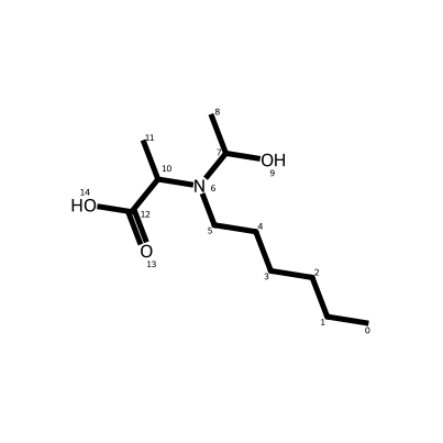 CCCCCCN(C(C)O)C(C)C(=O)O